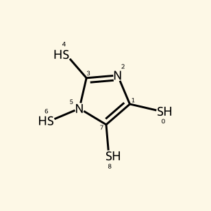 Sc1nc(S)n(S)c1S